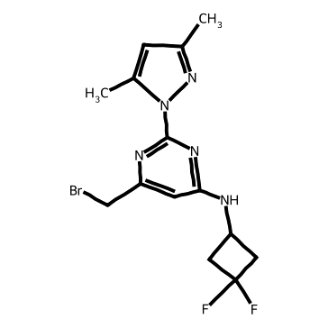 Cc1cc(C)n(-c2nc(CBr)cc(NC3CC(F)(F)C3)n2)n1